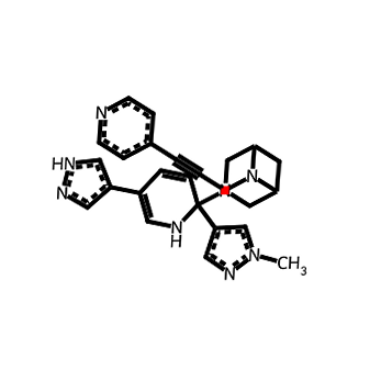 Cn1cc(C2(N3CC4CC(C3)N4CC#Cc3ccncc3)C=CC(c3cn[nH]c3)=CN2)cn1